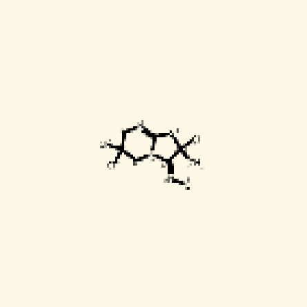 CC1(C)SC2=NCC(Cl)(Cl)CN2C1=NO